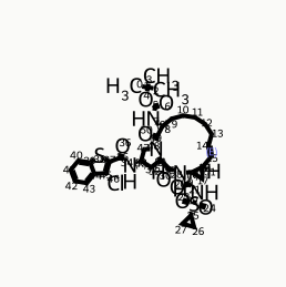 CC(C)(C)OC(=O)N[C@H]1CCCCC/C=C/[C@@H]2C[C@@]2(C(=O)NS(=O)(=O)C2CC2)NC(=O)[C@@H]2C[C@@H](NC(=O)c3sc4ccccc4c3Cl)CN2C1=O